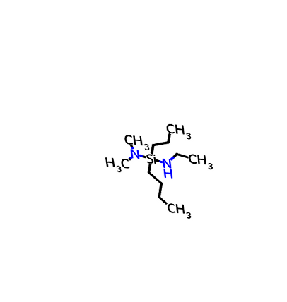 CCCC[Si](CCC)(NCC)N(C)C